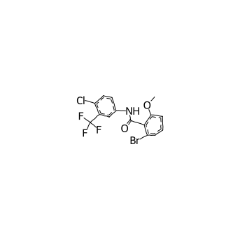 COc1cccc(Br)c1C(=O)Nc1ccc(Cl)c(C(F)(F)F)c1